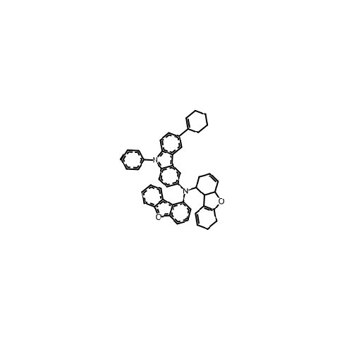 C1=CC2=C(CC1)OC1C=CCC(N(c3ccc4c(c3)c3cc(C5=CCCCC5)ccc3n4-c3ccccc3)c3cccc4oc5ccccc5c34)C21